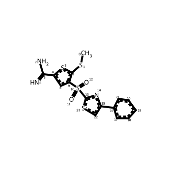 CSc1sc(C(=N)N)cc1S(=O)(=O)c1nc(-c2ccccc2)cs1